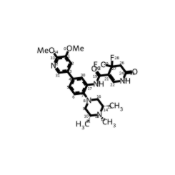 COc1cc(-c2ccc(N3C[C@@H](C)N(C)[C@@H](C)C3)c(NC(=O)C3=CNC(=O)CC3(F)C(F)(F)F)c2)cnc1OC